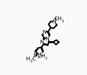 C=C(C)/C=C\C(=C/C)C1=CC(=C2CCC2)N2C=C(C3CCN(C)CC3)N=CC2=N1